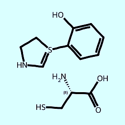 N[C@@H](CS)C(=O)O.Oc1ccccc1S1=CNCC1